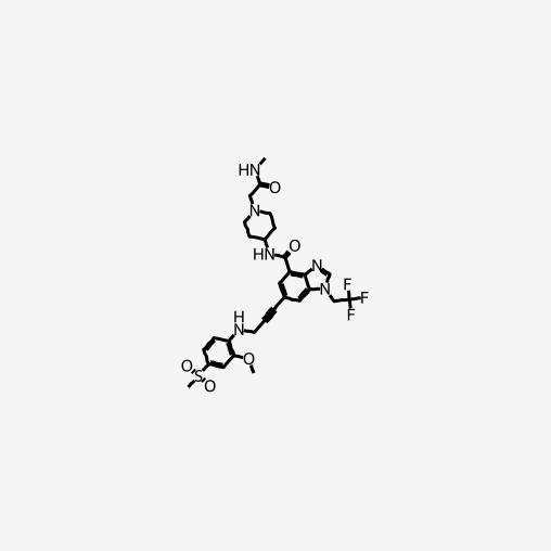 CNC(=O)CN1CCC(NC(=O)c2cc(C#CCNc3ccc(S(C)(=O)=O)cc3OC)cc3c2ncn3CC(F)(F)F)CC1